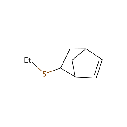 CCSC1CC2C=CC1C2